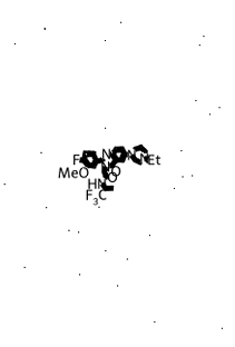 CCN1CCCN(c2ccc3nc(-c4ccc(F)c(OC)c4)n(CC(=O)N[C@H](C)C(F)(F)F)c(=O)c3c2)CC1